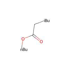 CCCCOC(=O)CC(C)CC